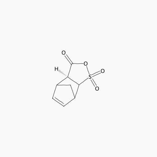 O=C1OS(=O)(=O)C2C3C=CC(C3)[C@@H]12